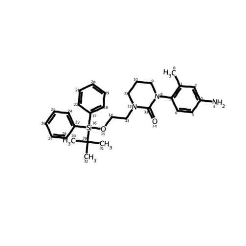 Cc1cc(N)ccc1N1CCCN(CCO[Si](c2ccccc2)(c2ccccc2)C(C)(C)C)C1=O